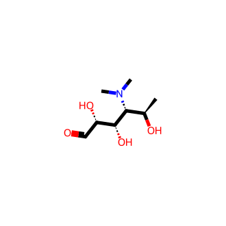 C[C@@H](O)[C@H]([C@H](O)[C@@H](O)C=O)N(C)C